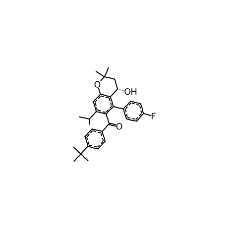 CC(C)c1cc2c(c(-c3ccc(F)cc3)c1C(=O)c1ccc(C(C)(C)C)cc1)[C@@H](O)CC(C)(C)O2